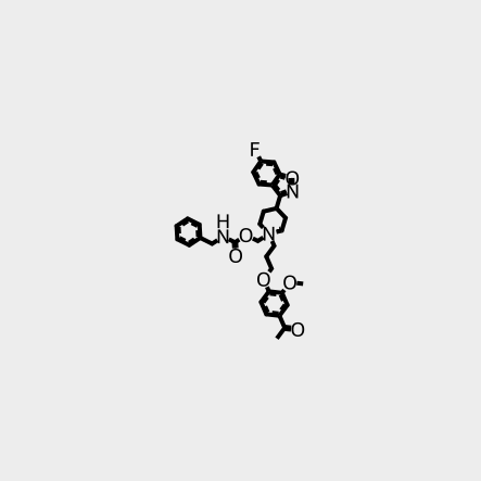 COc1cc(C(C)=O)ccc1OCCC[N+]1(COC(=O)NCc2ccccc2)CCC(c2noc3cc(F)ccc23)CC1